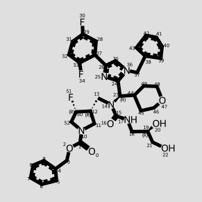 O=C(OCc1ccccc1)N1C[C@@H](CN(C(=O)NC[C@@H](O)CO)[C@@H](c2nc(-c3cc(F)ccc3F)cn2Cc2ccccc2)C2CCOCC2)[C@@H](F)C1